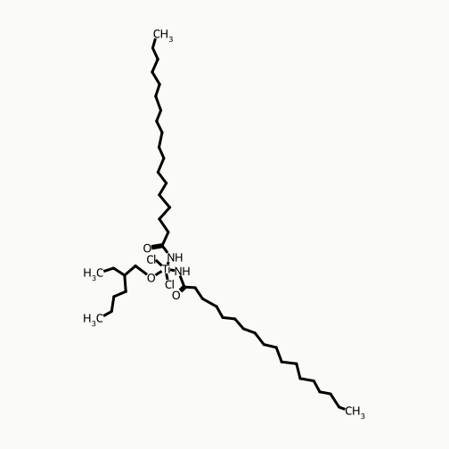 CCCCCCCCCCCCCCCCCC(=O)[NH][Ti]([Cl])([Cl])([NH]C(=O)CCCCCCCCCCCCCCCCC)[O]CC(CC)CCCC